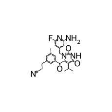 Cc1cc(CCC#N)cc(C(=O)c2c(C(C)C)c(=O)[nH]c(=O)n2Cc2cc(N)nc(F)c2)c1